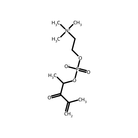 C=C(C)C(=O)C(C)OP(=O)([O-])OCC[N+](C)(C)C